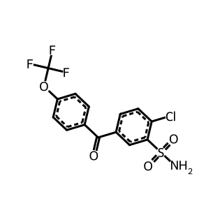 NS(=O)(=O)c1cc(C(=O)c2ccc(OC(F)(F)F)cc2)ccc1Cl